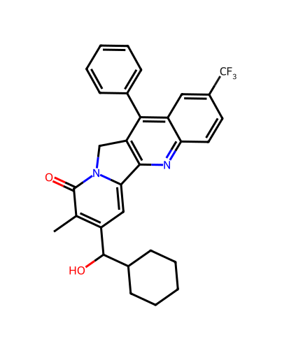 Cc1c(C(O)C2CCCCC2)cc2n(c1=O)Cc1c-2nc2ccc(C(F)(F)F)cc2c1-c1ccccc1